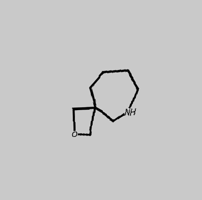 C1CCC2(CNC1)COC2